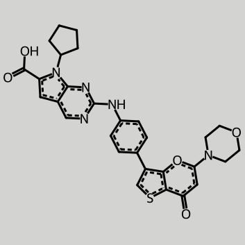 O=C(O)c1cc2cnc(Nc3ccc(-c4csc5c(=O)cc(N6CCOCC6)oc45)cc3)nc2n1C1CCCC1